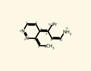 C/C=c1/nncc/c1=C(/C=C\N)C(C)C